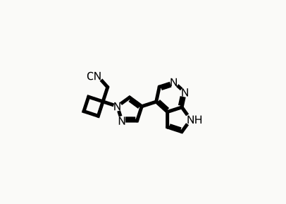 [C-]#[N+]CC1(n2cc(-c3cnnc4[nH]ccc34)cn2)CCC1